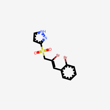 O=S(=O)(CC(Br)=Cc1ccccc1Br)c1cc[nH]n1